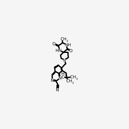 CC1NC(=O)C2(CCN(Cc3ccc4cnc(C#N)nc4c3CC(C)(C)C)CC2)NC1=O